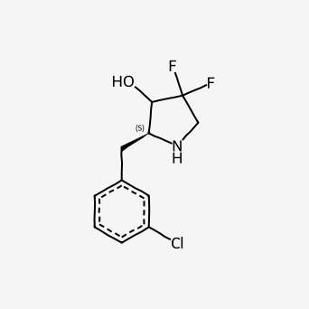 OC1[C@H](Cc2cccc(Cl)c2)NCC1(F)F